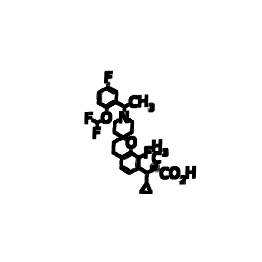 CC(c1cc(F)ccc1OC(F)F)N1CCC2(CCc3ccc(C(C4CC4)[C@H](C)C(=O)O)c(F)c3O2)CC1